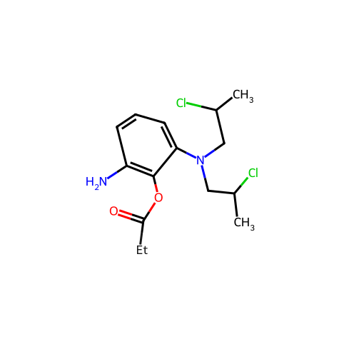 CCC(=O)Oc1c(N)cccc1N(CC(C)Cl)CC(C)Cl